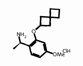 COc1ccc([C@@H](C)N)c(OC2CC3(CCC3)C2)c1.Cl